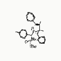 CC1=C(c2ccccc2)[P@]2C[C@@]1(C)C(c1ccccc1)[C@@H]2[C@H](N[S@+]([O-])C(C)(C)C)c1ccc(C)cc1